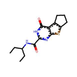 CCC(CC)NC(=O)c1nc2sc3c(c2c(=O)[nH]1)CCC3